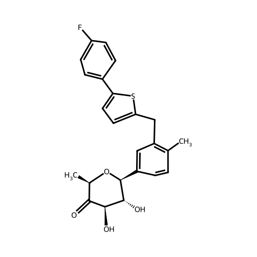 Cc1ccc([C@@H]2O[C@H](C)C(=O)[C@H](O)[C@H]2O)cc1Cc1ccc(-c2ccc(F)cc2)s1